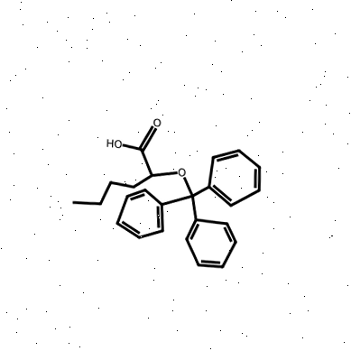 CCCCC(OC(c1ccccc1)(c1ccccc1)c1ccccc1)C(=O)O